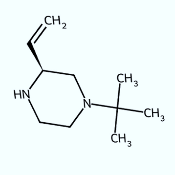 C=C[C@H]1CN(C(C)(C)C)CCN1